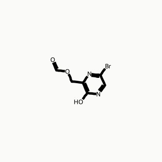 O=COCc1nc(Br)cnc1O